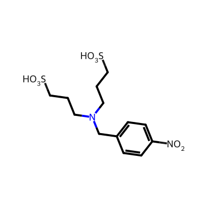 O=[N+]([O-])c1ccc(CN(CCCS(=O)(=O)O)CCCS(=O)(=O)O)cc1